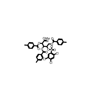 CON=CC(OC(=O)c1ccc(C)cc1)C(OC(=O)c1ccc(C)cc1)C(COC(=O)c1ccc(C)cc1)OS(=O)(=O)c1cc(Cl)c(Cl)cc1Cl